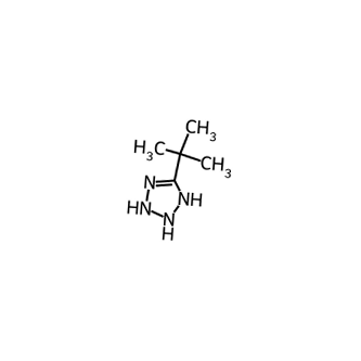 CC(C)(C)C1=NNNN1